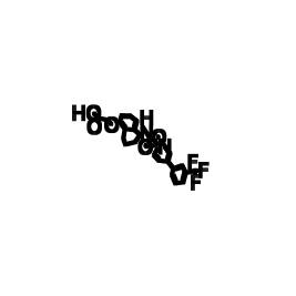 O=C(O)COc1cccc2c1CCCC2NS(=O)(=O)c1ccc(-c2cccc(C(F)(F)F)c2)cn1